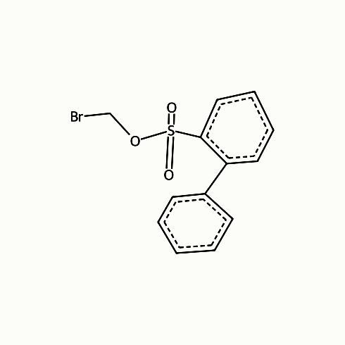 O=S(=O)(OCBr)c1ccccc1-c1ccccc1